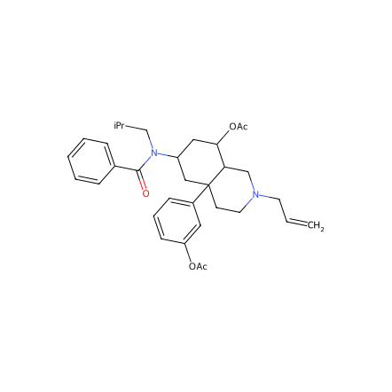 C=CCN1CCC2(c3cccc(OC(C)=O)c3)CC(N(CC(C)C)C(=O)c3ccccc3)CC(OC(C)=O)C2C1